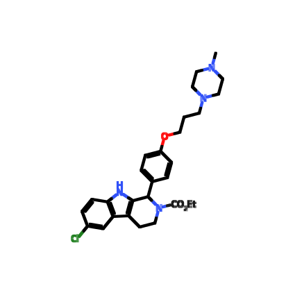 CCOC(=O)N1CCc2c([nH]c3ccc(Cl)cc23)C1c1ccc(OCCCN2CCN(C)CC2)cc1